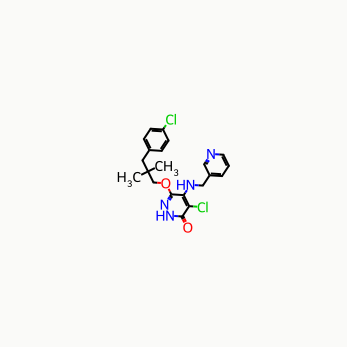 CC(C)(COc1n[nH]c(=O)c(Cl)c1NCc1cccnc1)Cc1ccc(Cl)cc1